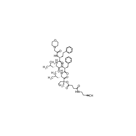 C#CCCNC(=O)CCC(=O)O[C@](C)(CI)C(=O)[C@H](CC(C)C)NC(=O)[C@H](Cc1ccccc1)NC(=O)[C@H](CC(C)C)NC(=O)[C@H](CCc1ccccc1)NC(=O)CN1CCOCC1